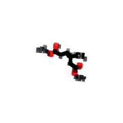 CCCOC(=O)C/C=C(/C)CC(=O)OCCC